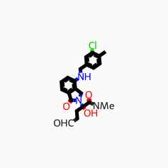 CNC(=O)C(O)(CCC=O)N1Cc2c(NCc3ccc(C)c(Cl)c3)cccc2C1=O